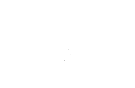 COC(=O)C12CCCC1(OC)OCC2